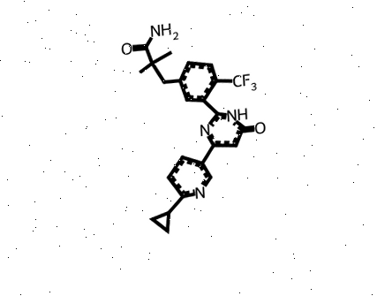 CC(C)(Cc1ccc(C(F)(F)F)c(-c2nc(-c3ccc(C4CC4)nc3)cc(=O)[nH]2)c1)C(N)=O